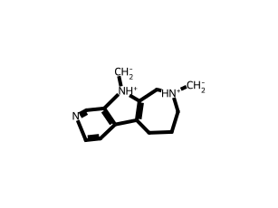 [CH2-][NH+]1CCCC2=C(C1)[NH+]([CH2-])c1cnccc12